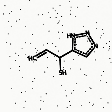 [CH]=CC(S)c1cnn[nH]1